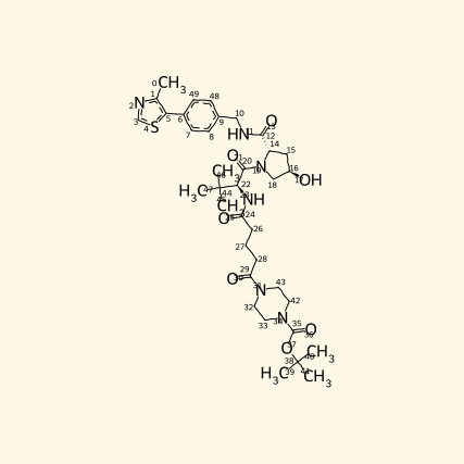 Cc1ncsc1-c1ccc(CNC(=O)[C@@H]2C[C@@H](O)CN2C(=O)[C@@H](NC(=O)CCCC(=O)N2CCN(C(=O)OC(C)(C)C)CC2)C(C)(C)C)cc1